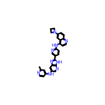 Cc1cc(Nc2cnc3[nH]c(-c4ccc(Nc5ccnc6ccc(N7CCC7)cc56)nc4)nc3c2)ccn1